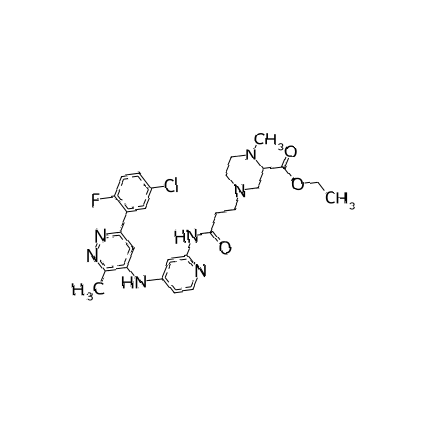 CCOC(=O)C1CN(CCC(=O)Nc2cc(Nc3cc(-c4cc(Cl)ccc4F)nnc3C)ccn2)CCN1C